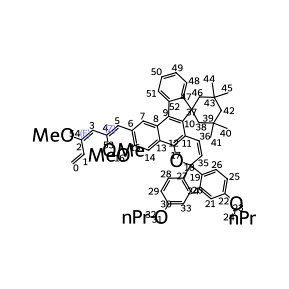 C=C/C(=C\C(=C\c1cc2c3c(c4c(c2cc1OC)OC(c1ccc(OCCC)cc1)(c1ccc(OCCC)cc1)C=C4)C1(CC(C)(C)CC(C)(C)C1)c1ccccc1-3)OC)OC